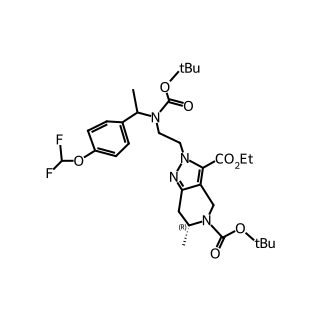 CCOC(=O)c1c2c(nn1CCN(C(=O)OC(C)(C)C)C(C)c1ccc(OC(F)F)cc1)C[C@@H](C)N(C(=O)OC(C)(C)C)C2